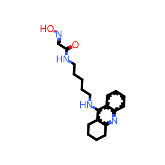 O=C(/C=N/O)NCCCCCNc1c2c(nc3ccccc13)CCCC2